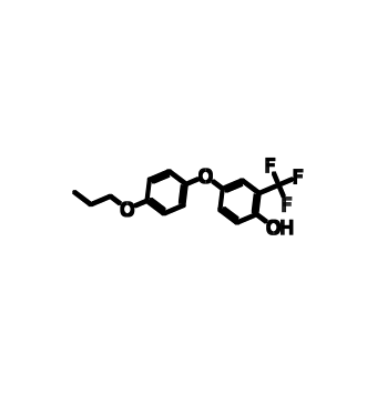 CCCOc1ccc(Oc2ccc(O)c(C(F)(F)F)c2)cc1